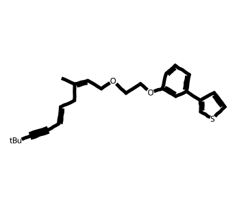 CC(=CCOCCOc1cccc(-c2ccsc2)c1)CC=CC#CC(C)(C)C